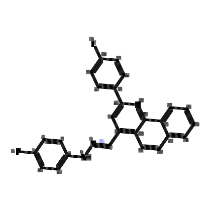 Fc1ccc(N/N=C/c2cc(-c3ccc(F)cc3)nc3c2ccc2ccccc23)cc1